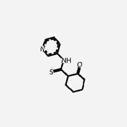 O=C1CCCCC1C(=S)Nc1cccnc1